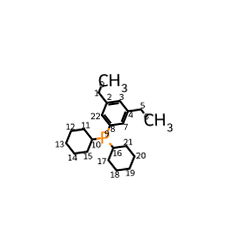 CCc1cc(CC)cc(P(C2CCCCC2)C2CCCCC2)c1